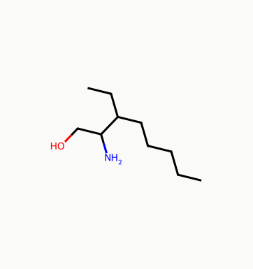 CCCCCC(CC)C(N)CO